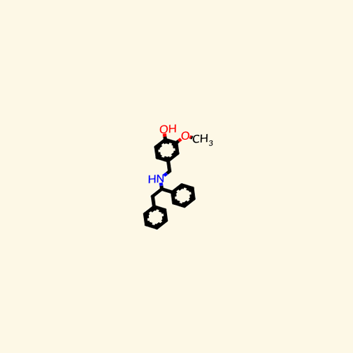 COc1cc(CNC(Cc2ccccc2)c2ccccc2)ccc1O